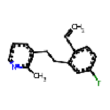 C=Cc1ccc(F)cc1CCc1cccnc1C